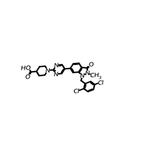 Cn1c(=O)c2ccc(-c3cnc(N4CCC(C(=O)O)CC4)nc3)cc2n1Cc1cc(Cl)ccc1Cl